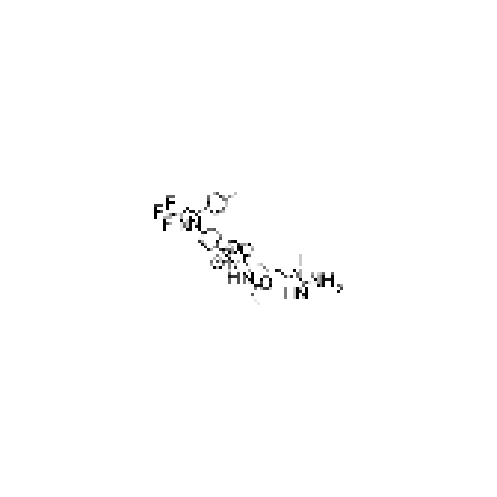 CCC(=O)N[C@@H](CCCCNC(=N)N)C(=O)NS(=O)(=O)c1ccc(-n2nc(C(F)(F)F)cc2-c2ccc(C)cc2)cc1